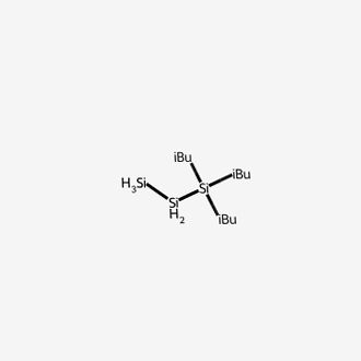 CCC(C)[Si]([SiH2][SiH3])(C(C)CC)C(C)CC